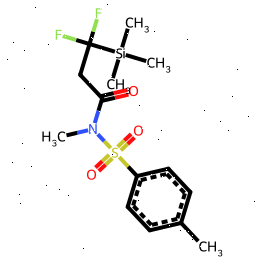 Cc1ccc(S(=O)(=O)N(C)C(=O)CC(F)(F)[Si](C)(C)C)cc1